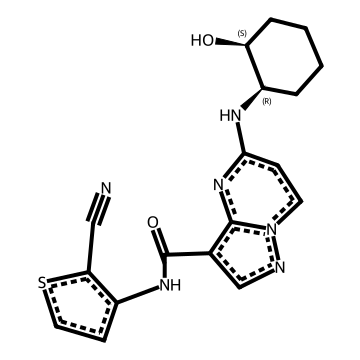 N#Cc1sccc1NC(=O)c1cnn2ccc(N[C@@H]3CCCC[C@@H]3O)nc12